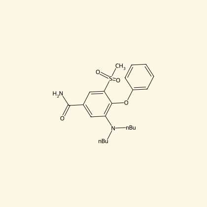 CCCCN(CCCC)c1cc(C(N)=O)cc(S(C)(=O)=O)c1Oc1ccccc1